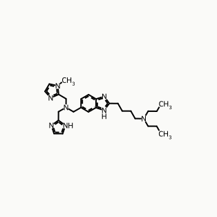 CCCN(CCC)CCCCc1nc2ccc(CN(Cc3ncc[nH]3)Cc3nccn3C)cc2[nH]1